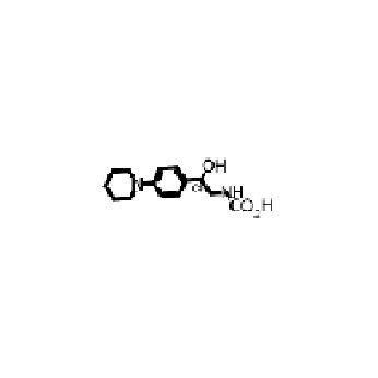 O=C(O)NC[C@H](O)c1ccc(N2CCCCC2)cc1